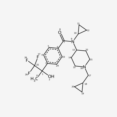 CC(O)(c1ccc(C(=O)N(C2CC2)C2CCN(CC3CC3)CC2)cc1)C(F)(F)F